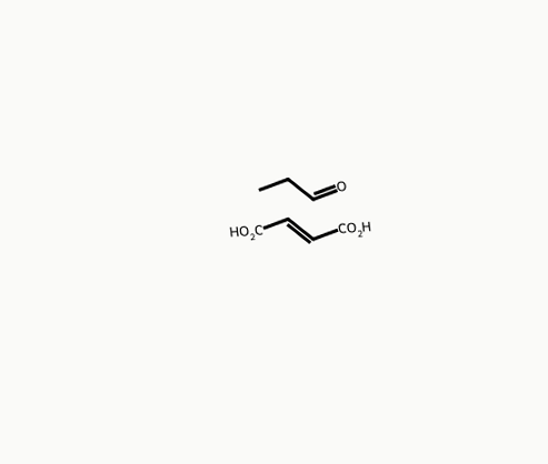 CCC=O.O=C(O)/C=C/C(=O)O